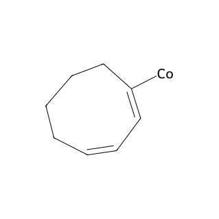 [Co][C]1=CC=CCCCC1